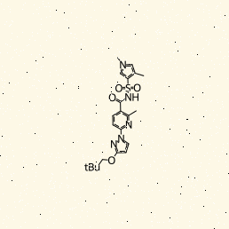 Cc1cn(C)cc1S(=O)(=O)NC(=O)c1ccc(-n2ccc(OCC(C)(C)C)n2)nc1C